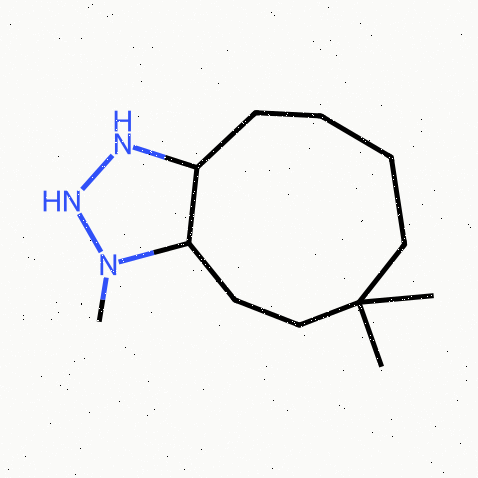 CN1NNC2CCCCC(C)(C)CCC21